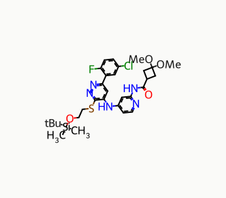 COC1(OC)CC(C(=O)Nc2cc(Nc3cc(-c4cc(Cl)ccc4F)nnc3SCCO[Si](C)(C)C(C)(C)C)ccn2)C1